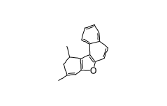 CC1=Cc2oc3ccc4ccccc4c3c2C(C)C1